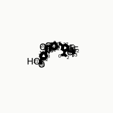 CC(C)c1cc(CN2CCC3(CC2)CN(c2ccc(C(=O)O)cc2)C(=O)O3)ccc1OC(F)(F)F